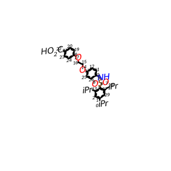 CC(C)c1cc(C(C)C)c(S(=O)(=O)Nc2ccc(OCCOc3ccc(C(=O)O)cc3)cc2)c(C(C)C)c1